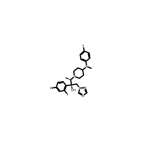 C[C@@H](N1CCC(N(C)c2ccc(F)cc2)CC1)[C@](O)(Cn1cncn1)c1ccc(F)cc1F